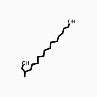 CC(CO)CCCCCCCCCCCCCO